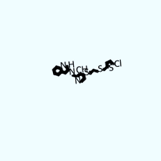 Cc1c(SCCCSCc2ccc(Cl)s2)ccnc1CNc1cnc2ccccc2c1